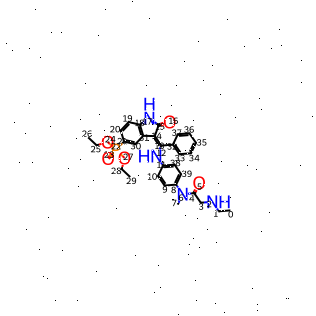 CCNCC(=O)N(C)c1ccc(NC(=C2C(=O)Nc3ccc(P(=O)(OCC)OCC)cc32)c2ccccc2)cc1